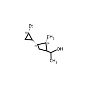 CC[C@H]1CC1[C@H]1CC(C(C)O)[C@H]1C